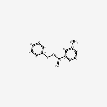 Nc1cccc(C(=O)OCc2ccccc2)c1